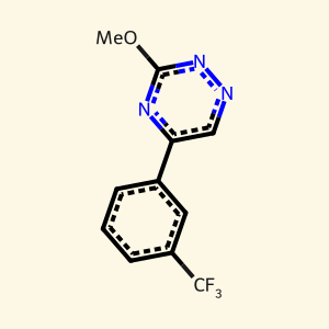 COc1nncc(-c2cccc(C(F)(F)F)c2)n1